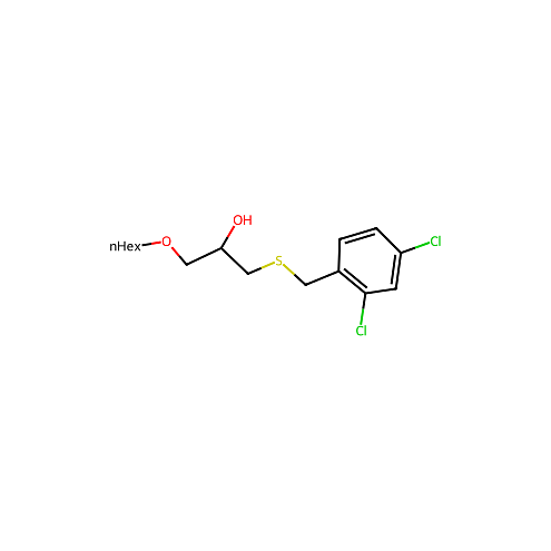 CCCCCCOCC(O)CSCc1ccc(Cl)cc1Cl